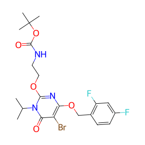 CC(C)n1c(OCCNC(=O)OC(C)(C)C)nc(OCc2ccc(F)cc2F)c(Br)c1=O